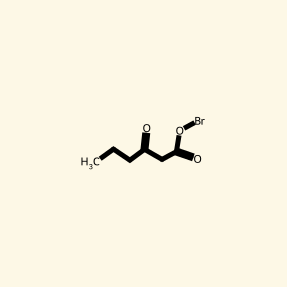 CCCC(=O)CC(=O)OBr